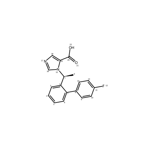 C[C@@H](c1ccccc1-c1ccc(F)cc1)n1cncc1C(=O)O